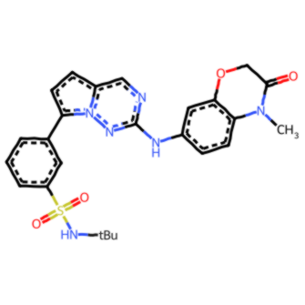 CN1C(=O)COc2cc(Nc3ncc4ccc(-c5cccc(S(=O)(=O)NC(C)(C)C)c5)n4n3)ccc21